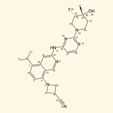 CC(C)c1ccc(N2CC(C#N)C2)c2cnc(Nc3ccnc(N4CC[C@@](C)(O)[C@@H](F)C4)n3)cc12